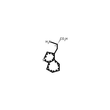 N[C@@H](Cc1csc2ccccc12)C(=O)O